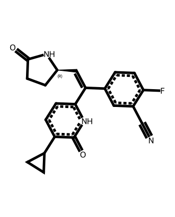 N#Cc1cc(C(=C[C@H]2CCC(=O)N2)c2ccc(C3CC3)c(=O)[nH]2)ccc1F